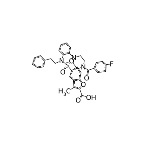 Cc1c(C(=O)O)oc2ccc(S(=O)(=O)N(CCc3ccccc3)c3ccccc3N3CCN(C(=O)c4ccc(F)cc4)CC3)cc12